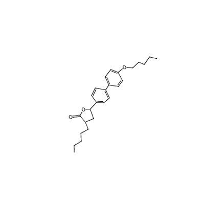 CCCCCOc1ccc(-c2ccc(C3CC(CCCCC)C(=O)O3)cc2)cc1